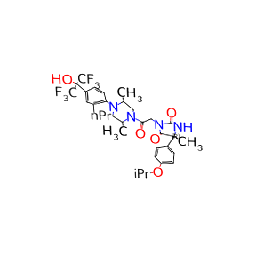 CCCc1cc(C(O)(C(F)(F)F)C(F)(F)F)ccc1N1CC(C)N(C(=O)CN2C(=O)N[C@](C)(c3ccc(OC(C)C)cc3)C2=O)CC1C